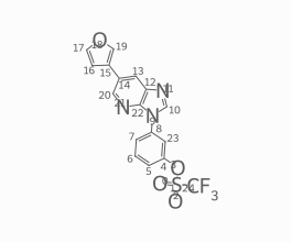 O=S(=O)(Oc1cccc(-n2cnc3cc(-c4ccoc4)cnc32)c1)C(F)(F)F